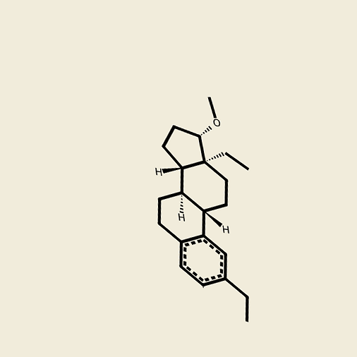 CCc1[c]cc2c(c1)[C@H]1CC[C@]3(CC)[C@@H](OC)CC[C@H]3[C@@H]1CC2